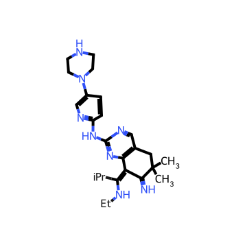 CCN/C(=C1\C(=N)C(C)(C)Cc2cnc(Nc3ccc(N4CCNCC4)cn3)nc21)C(C)C